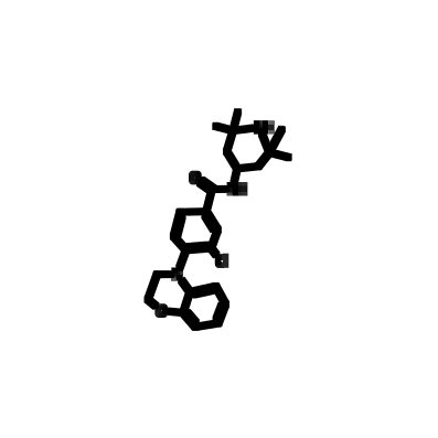 CC1(C)CC(NC(=O)c2ccc(N3CCOc4ccccc43)c(Cl)c2)CC(C)(C)N1